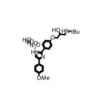 COc1ccc(-c2c[nH]c(-c3ccc(OCC(O)CNC(C)(C)C)cc3)n2)cc1.Cl.Cl.O.O